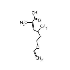 C=COCCC(C)C=C(C)C(=O)O